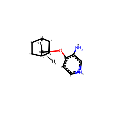 Nc1cnccc1O[C@@H]1CC2CCC1CC2